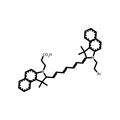 CC(=O)CCN1/C(=C/C=C/C=C/C=C/C2N(CCC(=O)O)c3ccc4ccccc4c3C2(C)C)C(C)(C)c2c1ccc1ccccc21